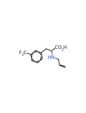 C=CCN[C@@H](Cc1cccc(C(F)(F)F)c1)C(=O)O